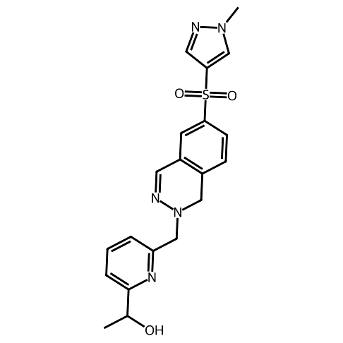 CC(O)c1cccc(CN2Cc3ccc(S(=O)(=O)c4cnn(C)c4)cc3C=N2)n1